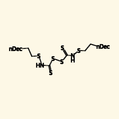 CCCCCCCCCCCCSNC(=S)SSC(=S)NSCCCCCCCCCCCC